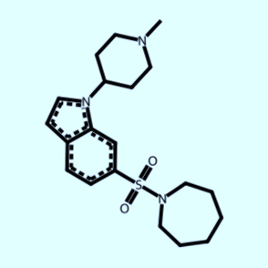 CN1CCC(n2ccc3ccc(S(=O)(=O)N4CCCCCC4)cc32)CC1